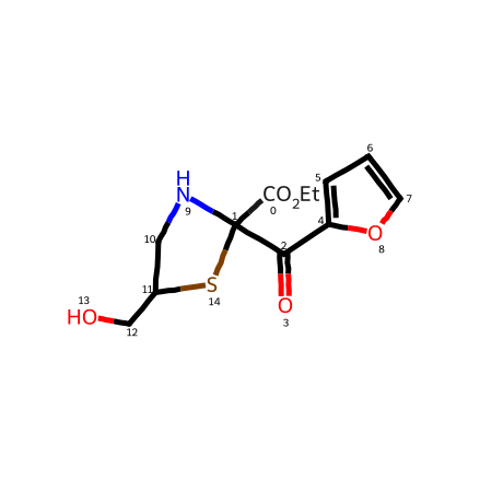 CCOC(=O)C1(C(=O)c2ccco2)NCC(CO)S1